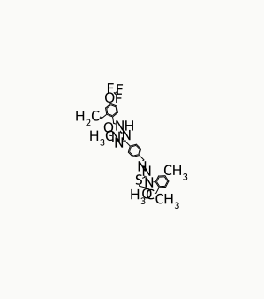 C=Cc1cc(OC(F)(F)F)ccc1C(=O)Nc1nc(-c2ccc(/C=N/N=C3\SCC(=O)N3c3cc(C)ccc3C(C)C)cc2)nn1C